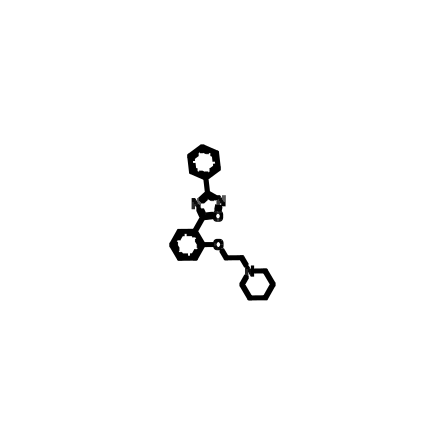 c1ccc(-c2noc(-c3ccccc3OCCN3CCCCC3)n2)cc1